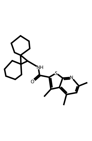 Cc1cc(C)c2c(C)c(C(=O)NC3C4(CCCCC4)C34CCCCC4)sc2n1